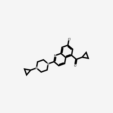 O=C(c1cc(Cl)cc2nc(N3CCN(C4CC4)CC3)ccc12)C1CC1